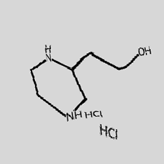 Cl.Cl.OCCC1CNCCN1